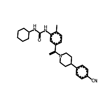 C=C(c1ccc(C)c(NC(=O)NC2CCCCC2)c1)N1CCC(c2ccc(C#N)cc2)CC1